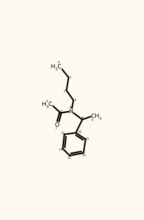 CCCCN(C(C)=O)C(C)c1ccccc1